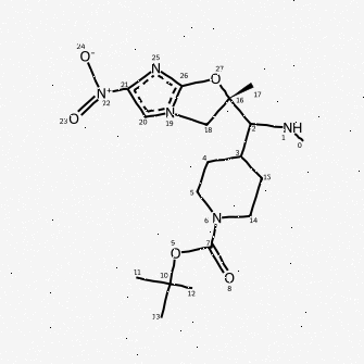 CNC(C1CCN(C(=O)OC(C)(C)C)CC1)[C@]1(C)Cn2cc([N+](=O)[O-])nc2O1